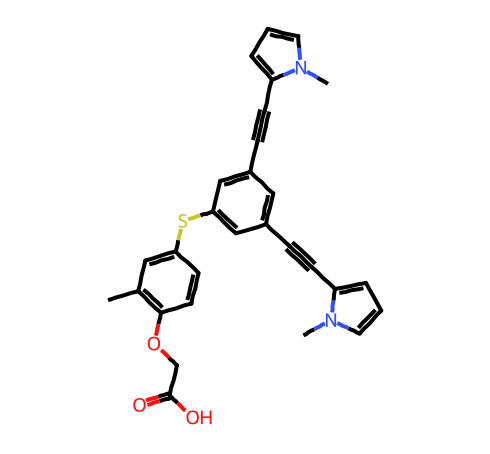 Cc1cc(Sc2cc(C#Cc3cccn3C)cc(C#Cc3cccn3C)c2)ccc1OCC(=O)O